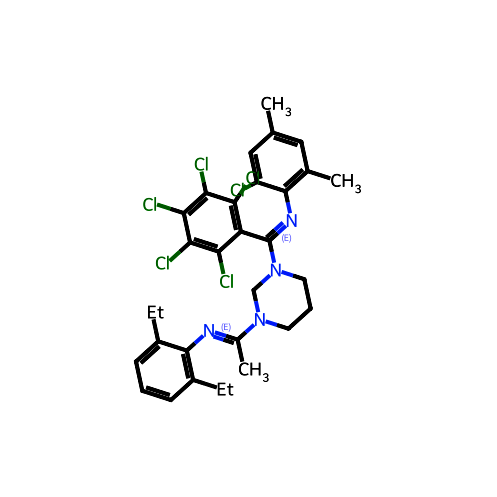 CCc1cccc(CC)c1/N=C(\C)N1CCCN(/C(=N/c2c(C)cc(C)cc2Cl)c2c(Cl)c(Cl)c(Cl)c(Cl)c2Cl)C1